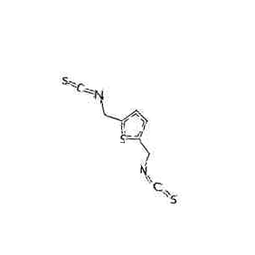 S=C=NCc1ccc(CN=C=S)s1